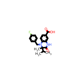 CC(C)C1(C)C(=O)Nc2cc(C(=O)O)ccc2N1Cc1ccc(F)cc1